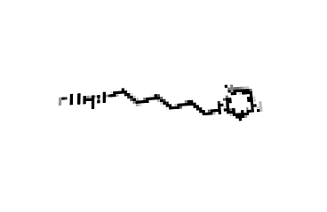 CCCCCCCCCCCCCn1cncn1